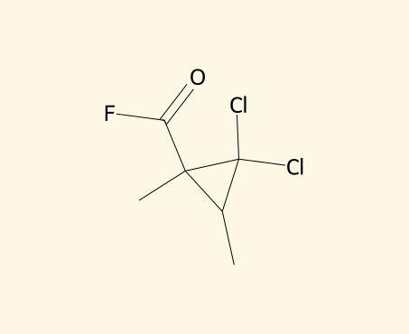 CC1C(Cl)(Cl)C1(C)C(=O)F